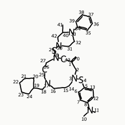 C=C1CN(Sc2ccc(N(C)C)cc2)CCCN(CC2CCCCC2)CCCN(SN2CCN(c3ccccc3)C(C)C2)C1